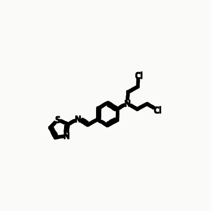 ClCCN(CCCl)c1ccc(C=Nc2nccs2)cc1